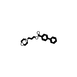 O=C(OCCCN1CCOCC1)c1ccc(-c2ccccc2)cc1